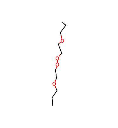 CCCOCCOOCCOCCC